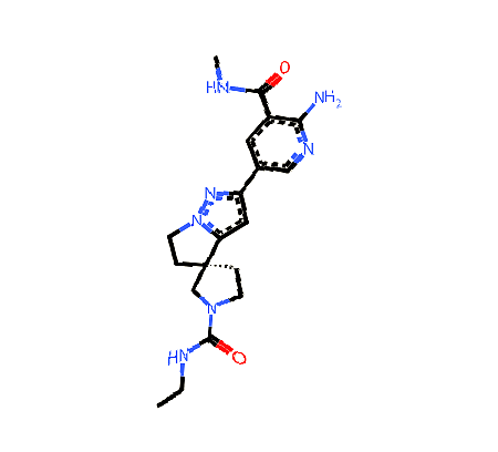 CCNC(=O)N1CC[C@@]2(CCn3nc(-c4cnc(N)c(C(=O)NC)c4)cc32)C1